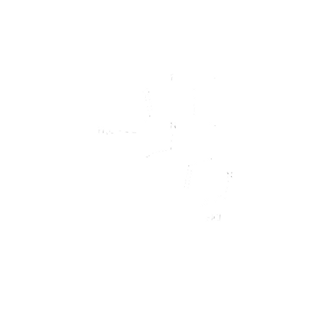 CC1SC(c2cccnc2)N(c2ccccc2F)C1=O.Cl